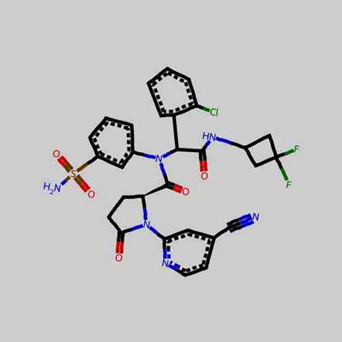 N#Cc1ccnc(N2C(=O)CC[C@H]2C(=O)N(c2cccc(S(N)(=O)=O)c2)C(C(=O)NC2CC(F)(F)C2)c2ccccc2Cl)c1